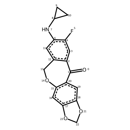 O=C1c2cc(F)c(NC3CC3)cc2COc2cc3c(cc21)OCO3